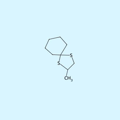 CC1CSC2(CCCCC2)S1